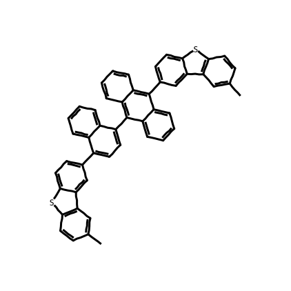 Cc1ccc2sc3ccc(-c4ccc(-c5c6ccccc6c(-c6ccc7sc8ccc(C)cc8c7c6)c6ccccc56)c5ccccc45)cc3c2c1